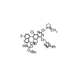 CC(C)n1cc(COc2nc(OC[C@@H]3CCCN3C)nc3c(Cl)c(-c4ccc(F)c5sc(NC(=O)OC(C)(C)C)c(C#N)c45)c4c(c23)COC4)nn1